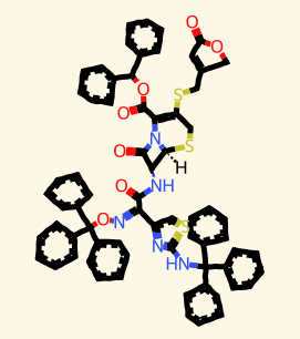 O=C1C=C(CSC2=C(C(=O)OC(c3ccccc3)c3ccccc3)N3C(=O)[C@@H](NC(=O)/C(=N\OC(c4ccccc4)(c4ccccc4)c4ccccc4)c4csc(NC(c5ccccc5)(c5ccccc5)c5ccccc5)n4)[C@@H]3SC2)CO1